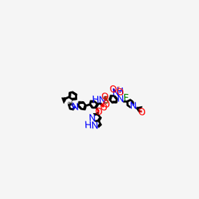 O=C(NS(=O)(=O)c1ccc(NCC2(F)CCN(C3COC3)CC2)c([N+](=O)[O-])c1)c1ccc(-c2ccc(N3CCC[C@@H]3c3ccccc3C3CC3)cc2)cc1Oc1cnc2[nH]ccc2c1